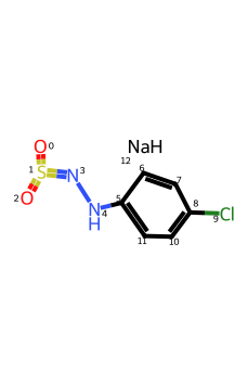 O=S(=O)=NNc1ccc(Cl)cc1.[NaH]